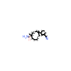 CCC(/C=C(\C)C#N)C1(C)CCCCCC(C)(BN)CCC1